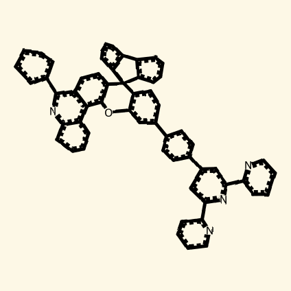 c1ccc(-c2nc3ccccc3c3c4c(ccc23)C2(c3ccc(-c5ccc(-c6cc(-c7ccccn7)nc(-c7ccccn7)c6)cc5)cc3O4)c3ccccc3-c3ccccc32)cc1